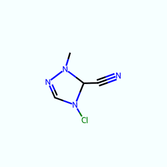 CN1N=CN(Cl)C1C#N